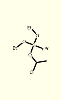 CCC[Si](OCC)(OCC)OC(C)Cl